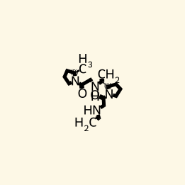 C=CNCC(=O)N1CCC[C@H]1C(=C)NCC(=O)N1CCC[C@H]1C